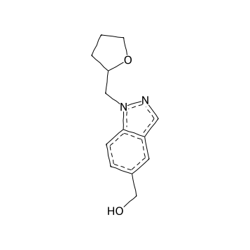 OCc1ccc2c(cnn2CC2CCCO2)c1